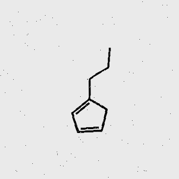 CC[CH]C1=CC=CC1